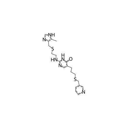 Cc1[nH]cnc1CSCCNc1ncc(CCCSCc2cccnc2)c(=O)[nH]1